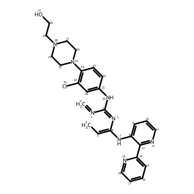 C=N/C(=N\C(=C/C)Nc1cccnc1-c1ccccn1)Nc1ccc(N2CCN(CCO)CC2)c(Cl)c1